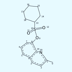 Cc1ccc2cccc(OS(=O)(=O)C3CCCCC3)c2n1